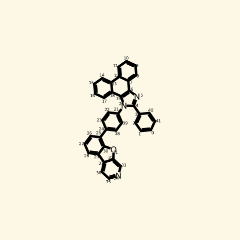 c1ccc(-c2nc3c4ccccc4c4ccccc4c3n2-c2ccc(-c3cccc4c3oc3cnccc34)cc2)cc1